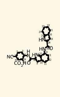 N#Cc1ccc(NC(=O)c2cc3cccc(NC(=O)c4cc5ccccc5[nH]4)c3[nH]2)c(C(=O)O)c1